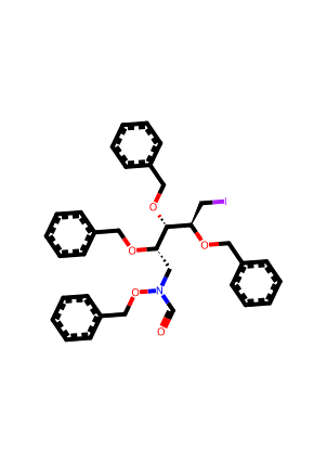 O=CN(C[C@H](OCc1ccccc1)[C@H](OCc1ccccc1)[C@@H](CI)OCc1ccccc1)OCc1ccccc1